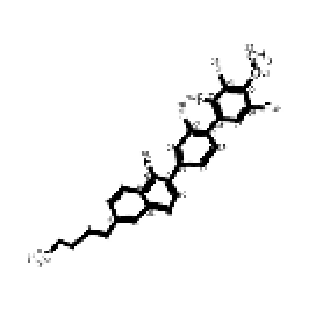 CCCCCc1ccc2c(F)c(-c3ccc(-c4cc(F)c(OC)c(F)c4F)c(F)c3)ccc2c1